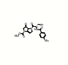 CC(C)C[C@H](NC(=O)c1ccc(C(C)(C)C)cc1)C(=O)N1CC=C2C1C(=O)CN2C(=O)OC(C)(C)C